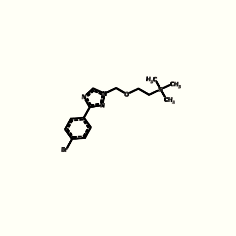 C[Si](C)(C)CCOCn1cnc(-c2ccc(Br)cc2)n1